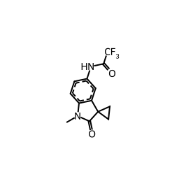 CN1C(=O)C2(CC2)c2cc(NC(=O)C(F)(F)F)ccc21